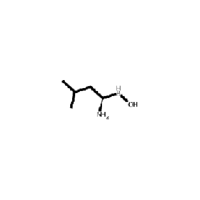 CC(C)C[C@H](N)BO